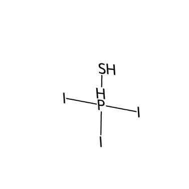 S[PH](I)(I)I